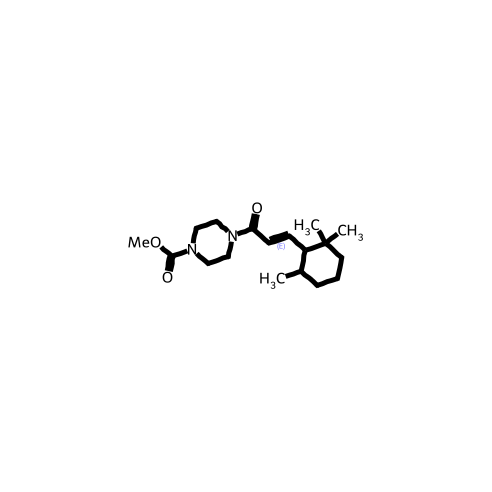 COC(=O)N1CCN(C(=O)/C=C/C2C(C)CCCC2(C)C)CC1